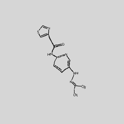 N#CC(C#N)=NNc1ccc(NC(=O)c2cscn2)nc1